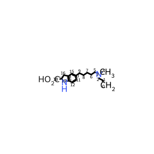 C=CCN(C)CCCCCc1ccc2c(c1)CC(C(=O)O)N2